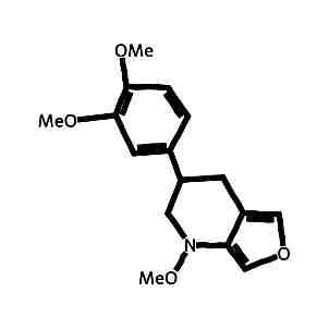 COc1ccc(C2Cc3cocc3N(OC)C2)cc1OC